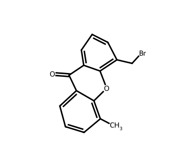 Cc1cccc2c(=O)c3cccc(CBr)c3oc12